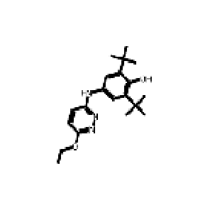 CCOc1ccc(Nc2cc(C(C)(C)C)c(O)c(C(C)(C)C)c2)nn1